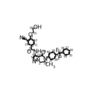 C[C@H]1Cn2ncc(NC(=O)c3ccc(OCCO)c(C#N)c3)c2C(=O)N1c1ccc(C(F)(F)c2ccccc2)cc1